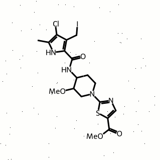 COC(=O)c1cnc(N2CCC(NC(=O)c3[nH]c(C)c(Cl)c3CI)C(OC)C2)s1